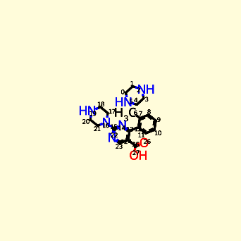 C1CNCCN1.Cc1ccccc1-c1nc(N2CCNCC2)ncc1C(=O)O